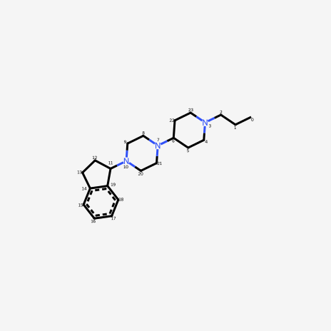 CCCN1CCC(N2CCN(C3CCc4ccccc43)CC2)CC1